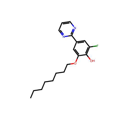 CCCCCCCCOc1cc(-c2ncccn2)cc(F)c1O